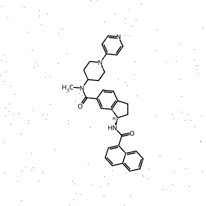 CN(C(=O)c1ccc2c(c1)[C@H](NC(=O)c1cccc3ccccc13)CC2)C1CCN(c2ccncc2)CC1